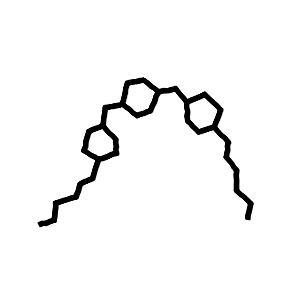 CCCCCCC1CCC(CC2CCC(CC3CCC(CCCCCC)CC3)CC2)CC1